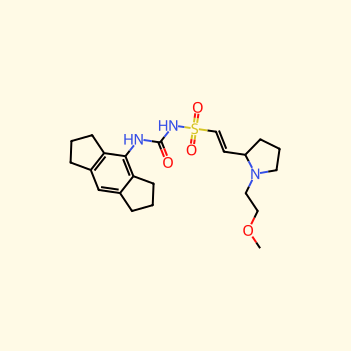 COCCN1CCCC1C=CS(=O)(=O)NC(=O)Nc1c2c(cc3c1CCC3)CCC2